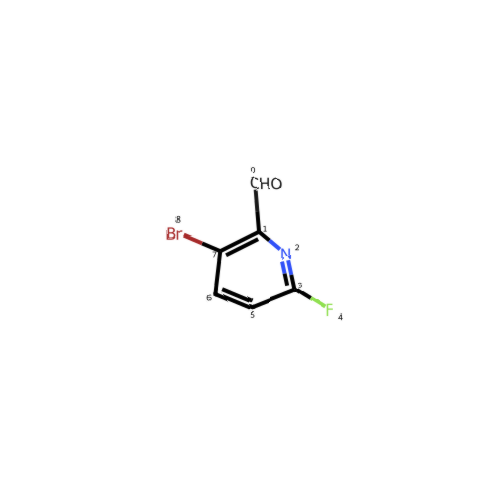 O=Cc1nc(F)ccc1Br